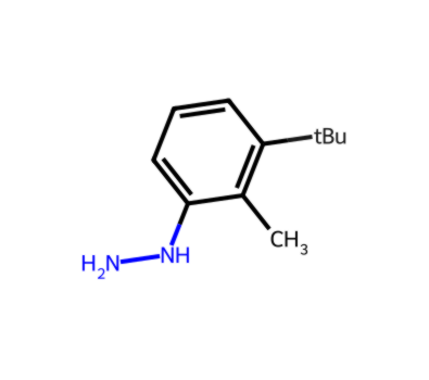 Cc1c(NN)cccc1C(C)(C)C